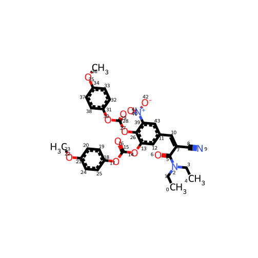 CCN(CC)C(=O)C(C#N)=Cc1cc(OC(=O)Oc2ccc(OC)cc2)c(OC(=O)Oc2ccc(OC)cc2)c([N+](=O)[O-])c1